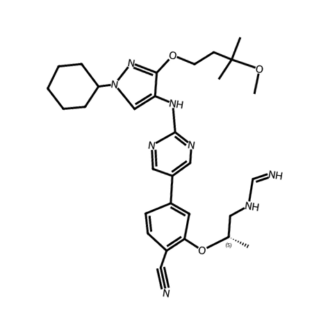 COC(C)(C)CCOc1nn(C2CCCCC2)cc1Nc1ncc(-c2ccc(C#N)c(O[C@@H](C)CNC=N)c2)cn1